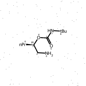 CCC[C@H](CN)OC(=O)NC(C)(C)C